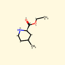 CCOC(=O)[C@H]1CC(C)CCN1